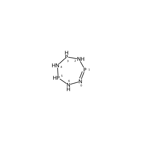 N1=PNPNPN1